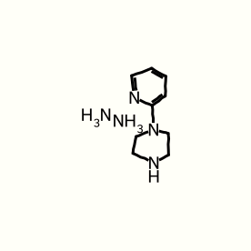 N.N.c1ccc(N2CCNCC2)nc1